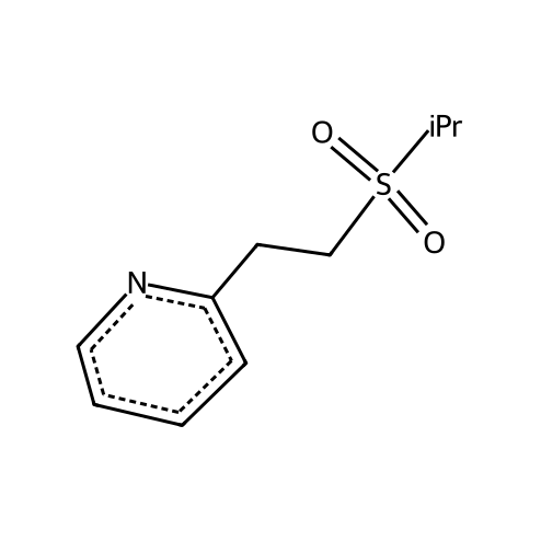 CC(C)S(=O)(=O)CCc1ccccn1